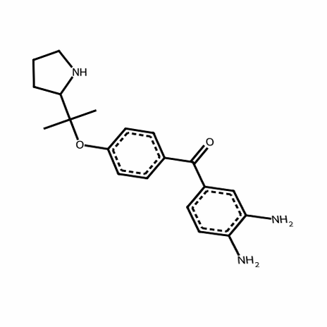 CC(C)(Oc1ccc(C(=O)c2ccc(N)c(N)c2)cc1)C1CCCN1